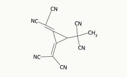 CC(C#N)(C#N)C1C(=C(C#N)C#N)C1=C(C#N)C#N